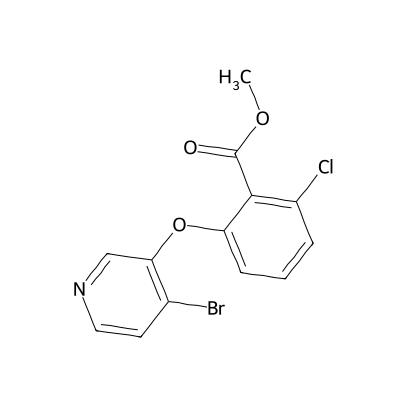 COC(=O)c1c(Cl)cccc1Oc1cnccc1Br